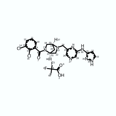 O=C(O)C(F)(F)F.O=C(c1cccc(Cl)c1Cl)N1C[C@@H]2C[C@H]1CN2Cc1cncc(Nc2cc[nH]n2)n1